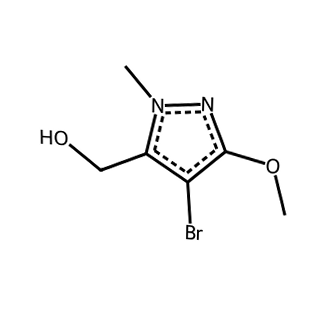 COc1nn(C)c(CO)c1Br